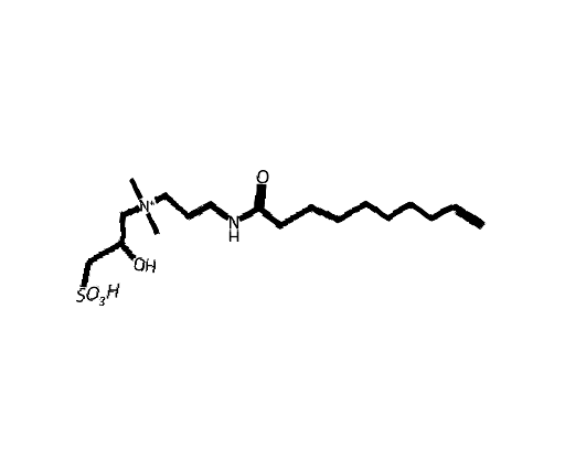 C=CCCCCCCCC(=O)NCCC[N+](C)(C)CC(O)CS(=O)(=O)O